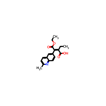 CCOC(=O)C(=C(CC)C(=O)O)c1ccc2nc(C)ccc2c1